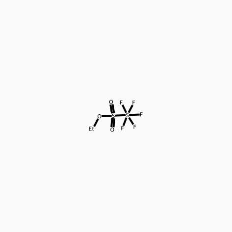 CCOS(=O)(=O)S(F)(F)(F)(F)F